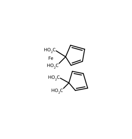 O=C(O)C1(C(=O)O)C=CC=C1.O=C(O)C1(C(=O)O)C=CC=C1.[Fe]